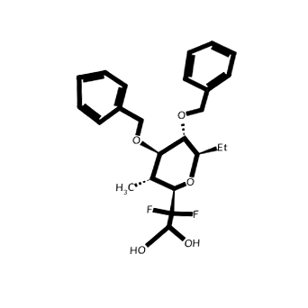 CC[C@H]1O[C@@H](C(F)(F)C(O)O)[C@H](C)[C@@H](OCc2ccccc2)[C@@H]1OCc1ccccc1